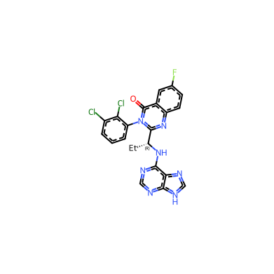 CC[C@@H](Nc1ncnc2[nH]cnc12)c1nc2ccc(F)cc2c(=O)n1-c1cccc(Cl)c1Cl